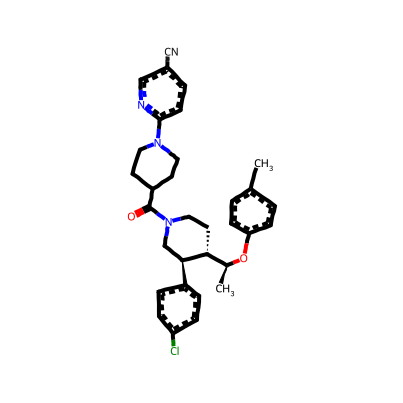 Cc1ccc(O[C@@H](C)[C@H]2CCN(C(=O)C3CCN(c4ccc(C#N)cn4)CC3)C[C@@H]2c2ccc(Cl)cc2)cc1